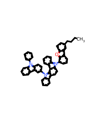 CCCCc1ccc2oc3c(-n4c5ccccc5c5c4ccc4c6ccccc6n(-c6ccc7c(c6)c6ccccc6n7-c6ccccc6)c45)cccc3c2c1